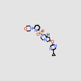 O=S(=O)(c1cccc(N2CCOCC2)n1)N1CCN2C[C@@H](Oc3cnc(C4CC4)cn3)C[C@H]2C1